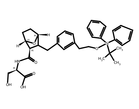 CC(C)(C)[Si](OCCc1cccc(CC2[C@@H](C(=O)N[C@H](CO)C(=O)O)[C@@H]3CC[C@H]2O3)c1)(c1ccccc1)c1ccccc1